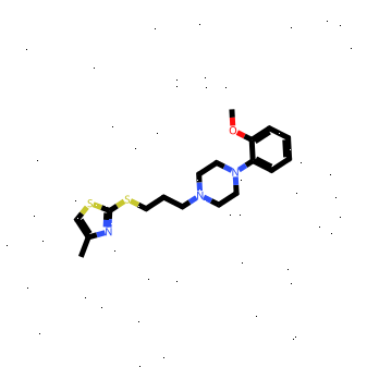 COc1ccccc1N1CCN(CCCSc2nc(C)cs2)CC1